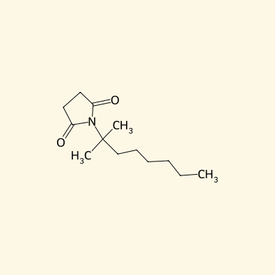 CCCCCCC(C)(C)N1C(=O)CCC1=O